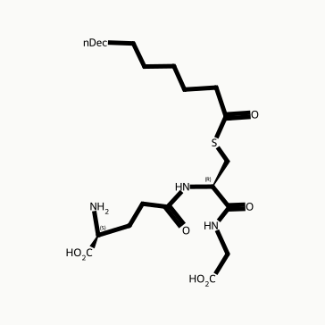 CCCCCCCCCCCCCCCC(=O)SC[C@H](NC(=O)CC[C@H](N)C(=O)O)C(=O)NCC(=O)O